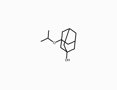 CC(C)OC12CC3CC(CC(O)(C3)C1)C2